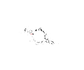 Cc1cc(C)n(Cc2ccc(C[C@H]3OC(=O)[C@H](CC(C)C)N(C)C(=O)[C@@H](C)OC(=O)[C@H](CC(C)C)N(C)C(=O)[C@@H](Cc4cccc(Cn5nc(C)cc5C)c4)OC(=O)[C@H](CC(C)C)N(C)C(=O)[C@@H](C)OC(=O)[C@H](CC(C)C)N(C)C3=O)cc2)n1